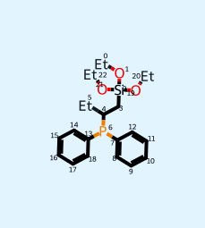 CCO[Si](CC(CC)P(c1ccccc1)c1ccccc1)(OCC)OCC